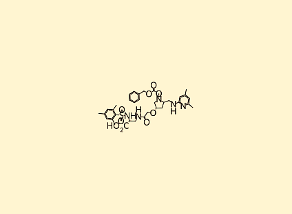 Cc1cc(C)nc(NCC2CC(OCC(=O)NCC(NS(=O)(=O)c3c(C)cc(C)cc3C)C(=O)O)CN2OC(=O)OCc2ccccc2)c1